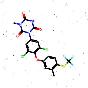 Cc1cc(Oc2c(Cl)cc(-n3c(=O)[nH]c(=O)n(C)c3=O)cc2Cl)ccc1SC(F)(F)F